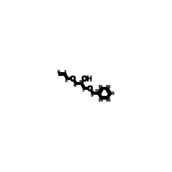 C=CCOC[C@@H](O)COCc1ccccc1